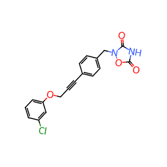 O=c1[nH]c(=O)n(Cc2ccc(C#CCOc3cccc(Cl)c3)cc2)o1